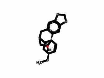 CO[C@@H]1C=C[C@@]23c4cc5c(cc4CN(C[C@H]2O)[C@H]3C1)OCO5